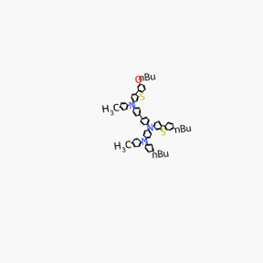 CCCCOc1ccc2sc3cc(N(c4ccc(C)cc4)c4ccc(-c5ccc(N(c6ccc(N(c7ccc(C)cc7)c7ccc(CCCC)cc7)cc6)c6ccc7c(c6)sc6cc(CCCC)ccc67)cc5)cc4)ccc3c2c1